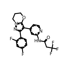 O=C(CC(F)(F)F)Nc1cc(-c2c(-c3ccc(F)cc3F)nn3c2OCCC3)ccn1